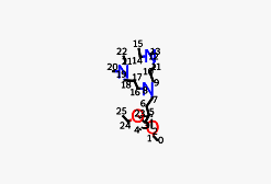 CCO[Si](C)(CCCN(CCCN(C)CC)CCCN(C)CC)OCC